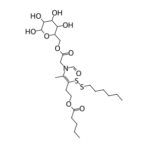 CCCCCCSS/C(CCOC(=O)CCCC)=C(/C)N(C=O)CC(=O)OCC1OC(O)C(O)C(O)C1O